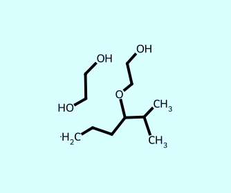 OCCO.[CH2]CCC(OCCO)C(C)C